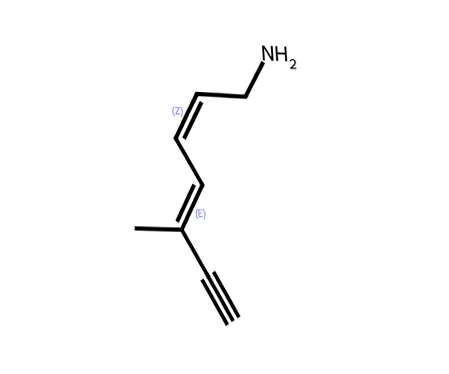 C#C/C(C)=C/C=C\CN